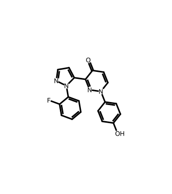 O=c1ccn(-c2ccc(O)cc2)nc1-c1ccnn1-c1ccccc1F